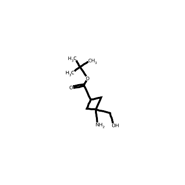 CC(C)(C)OC(=O)C1CC(N)(CO)C1